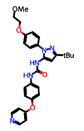 COCCOc1ccc(-n2nc(C(C)(C)C)cc2NC(=O)Nc2ccc(Oc3ccncc3)cc2)cc1